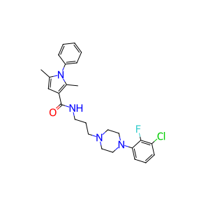 Cc1cc(C(=O)NCCCN2CCN(c3cccc(Cl)c3F)CC2)c(C)n1-c1ccccc1